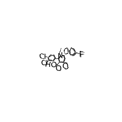 CCn1c(Oc2ccc(F)cc2)cc(=O)c(C(=O)O)c1-c1ccc(Cl)c(Cl)c1